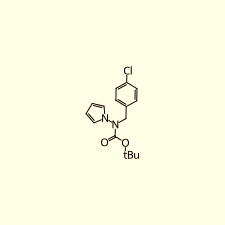 CC(C)(C)OC(=O)N(Cc1ccc(Cl)cc1)n1cccc1